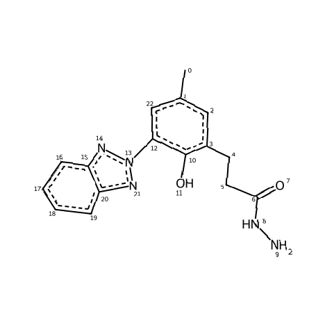 Cc1cc(CCC(=O)NN)c(O)c(-n2nc3ccccc3n2)c1